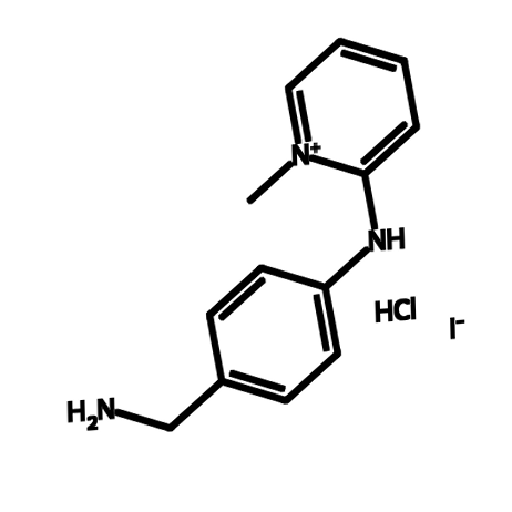 C[n+]1ccccc1Nc1ccc(CN)cc1.Cl.[I-]